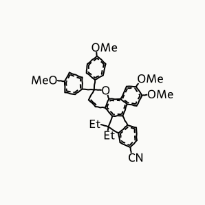 CCC1(CC)c2cc(C#N)ccc2-c2c1c1c(c3cc(OC)c(OC)cc23)OC(c2ccc(OC)cc2)(c2ccc(OC)cc2)C=C1